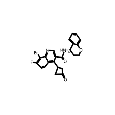 O=C1CC(c2c(C(=O)N[C@H]3CCOc4ccccc43)cnc3c(Br)c(F)ccc23)C1